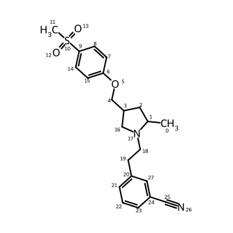 CC1CC(COc2ccc(S(C)(=O)=O)cc2)CN1CCc1cccc(C#N)c1